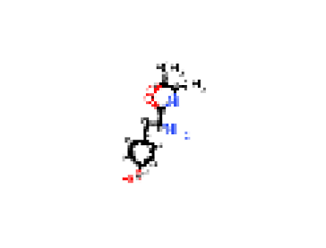 CC(=O)[C@@H](C)NC(=O)[C@@H](N)Cc1ccc(O)cc1